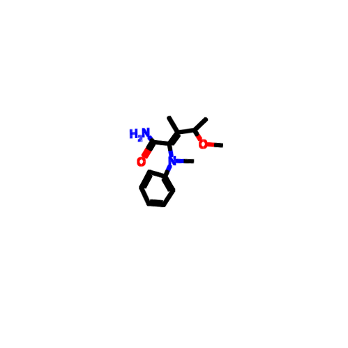 COC(C)C(C)=C(C(N)=O)N(C)c1ccccc1